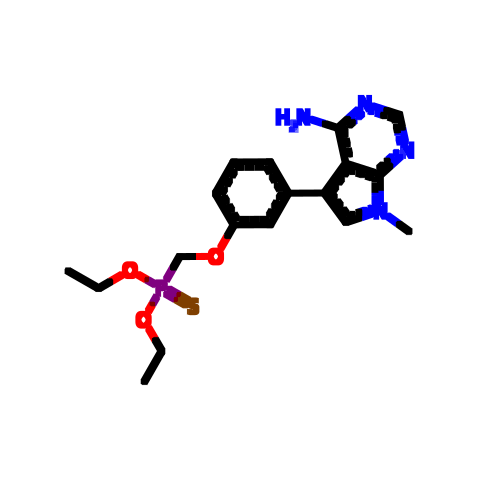 CCOP(=S)(COc1cccc(-c2cn(C)c3ncnc(N)c23)c1)OCC